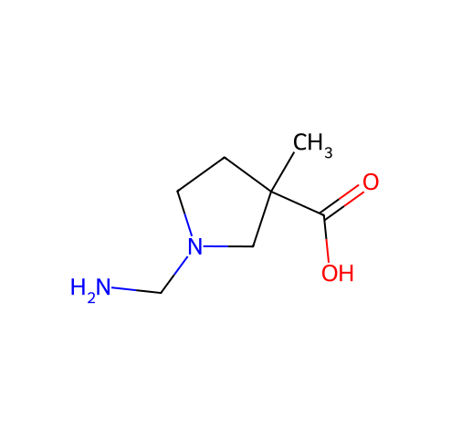 CC1(C(=O)O)CCN(CN)C1